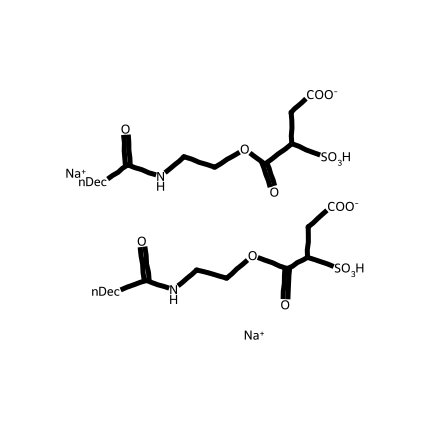 CCCCCCCCCCC(=O)NCCOC(=O)C(CC(=O)[O-])S(=O)(=O)O.CCCCCCCCCCC(=O)NCCOC(=O)C(CC(=O)[O-])S(=O)(=O)O.[Na+].[Na+]